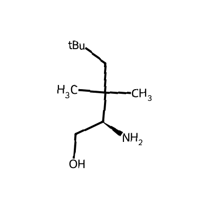 CC(C)(C)CC(C)(C)[C@@H](N)CO